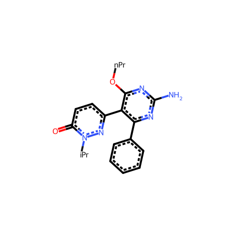 CCCOc1nc(N)nc(-c2ccccc2)c1-c1ccc(=O)n(C(C)C)n1